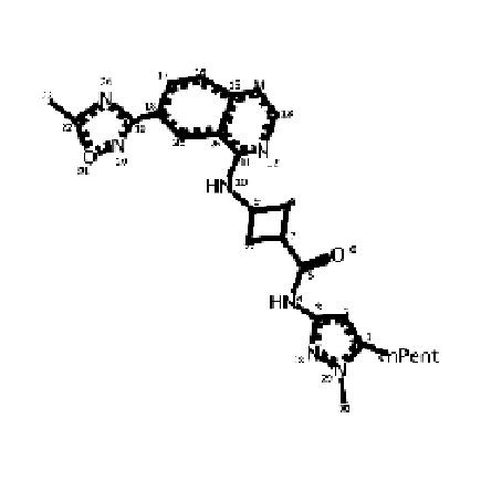 CCCCCc1cc(NC(=O)C2CC(Nc3nccc4ccc(-c5noc(C)n5)cc34)C2)nn1C